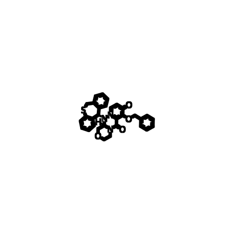 O=C1c2c(OCc3ccccc3)c(=O)ccn2N([C@H]2c3ccccc3CSc3ccccc32)[C@@H]2COCCN12